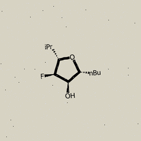 CCCC[C@H]1O[C@@H](C(C)C)[C@H](F)[C@@H]1O